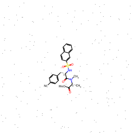 COC(=O)[C@@H](C)N(C)C(=O)[C@H](Cc1ccc(C#N)cc1)NS(=O)(=O)c1ccc2ccccc2c1